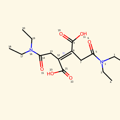 CCN(CC)C(=O)C/C(C(=O)O)=C(/CC(=O)N(CC)CC)C(=O)O